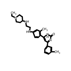 CCN1CCC(NCCNc2ccc(-c3cc(-c4cccc(C)c4)nc(=O)[nH]3)c(C)c2)CC1